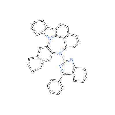 c1ccc(-c2nc(-n3c4cccc5ccc6c7ccccc7n(c7cc8ccccc8cc73)c6c54)nc3ccccc23)cc1